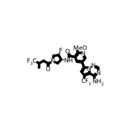 COc1ncc(-c2cc(C(F)(F)F)c3c(N)ncnn23)cc1C(=O)N[C@@H]1CN(C(=O)CC(C)C(F)(F)F)C[C@@H]1F